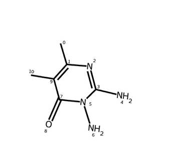 Cc1nc(N)n(N)c(=O)c1C